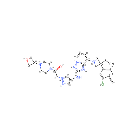 C=C/C(Cl)=C\C(=C/C)C1(CC#N)CN(c2cccn3nc(Nc4cnn(CC(=O)N5CCN(C6COC6)CC5)c4)nc23)C1